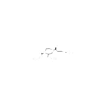 CC(C)(C)OC(=O)N1CCN(C(=O)CCSC(C)(C)C)CC1C(=O)O